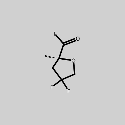 C[C@@]1(C(=O)I)CC(F)(F)CO1